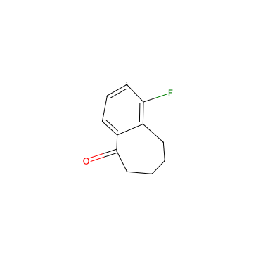 O=C1CCCCc2c(F)[c]ccc21